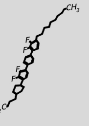 C=CCCC1CCC(c2ccc(-c3ccc(-c4ccc(CCCCCCCCCC)c(F)c4F)cc3)c(F)c2F)CC1